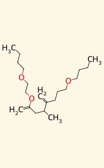 C=C(CC(C)C(=C)CCCOCCCC)OCCOCCCC